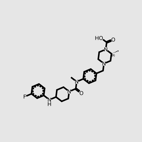 C[C@@H]1CN(Cc2ccc(N(C)C(=O)N3CCC(Nc4cccc(F)c4)CC3)cc2)CCN1C(=O)O